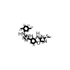 CSc1ncc(Oc2ccc(-c3nnc(Nc4cc(C)ccc4C)[nH]3)cc2)c(N)n1